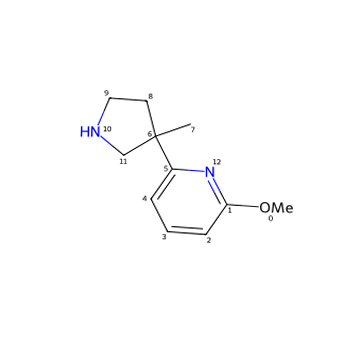 COc1cccc(C2(C)CCNC2)n1